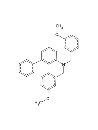 COc1cccc(CN(Cc2cccc(OC)c2)c2cccc(-c3ccccc3)c2)c1